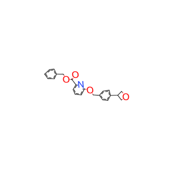 O=C(OCc1ccccc1)c1cccc(OCc2ccc(C3COC3)cc2)n1